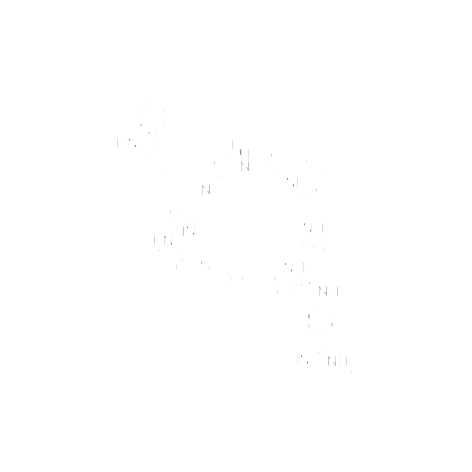 CC1NC(=O)C(CC(=O)O)NC(=O)CNC(=O)C(CC(=O)Nc2ccc(C(=N)N)cc2)NC(=O)CCSSCC(C(N)=O)NC(=O)C2CC(OCc3c[nH]c4ccccc34)CN2C1=O